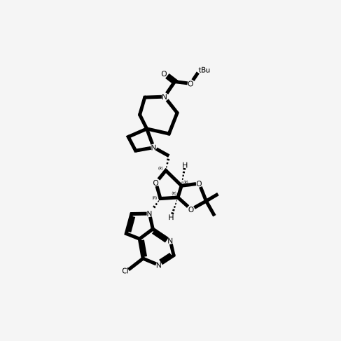 CC(C)(C)OC(=O)N1CCC2(CC1)CCN2C[C@H]1O[C@@H](n2ccc3c(Cl)ncnc32)[C@@H]2OC(C)(C)O[C@@H]21